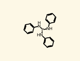 c1ccc(NP(Nc2ccccc2)Nc2ccccc2)cc1